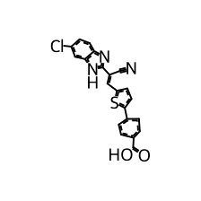 N#C/C(=C\c1ccc(-c2ccc(C(=O)O)cc2)s1)c1nc2ccc(Cl)cc2[nH]1